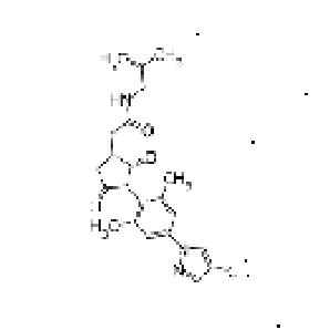 C=C(C)CNC(=O)CC1CC(=O)C(c2c(C)cc(-n3cc(Cl)cn3)cc2C)C1=O